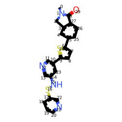 CN1Cc2cc(-c3ccc(-c4cncc(NSc5cccnc5)c4)s3)ccc2C1=O